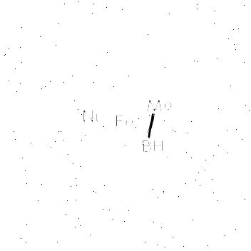 [BH2][Mo].[Fe].[Ni]